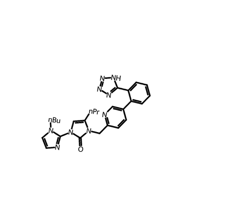 CCCCn1ccnc1-n1cc(CCC)n(Cc2ccc(-c3ccccc3-c3nnn[nH]3)cn2)c1=O